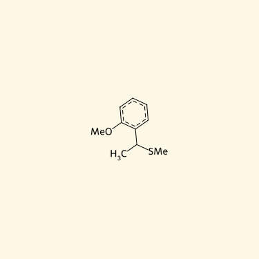 COc1ccccc1C(C)SC